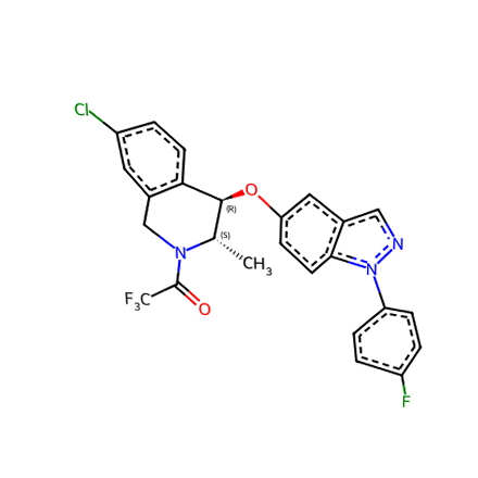 C[C@H]1[C@H](Oc2ccc3c(cnn3-c3ccc(F)cc3)c2)c2ccc(Cl)cc2CN1C(=O)C(F)(F)F